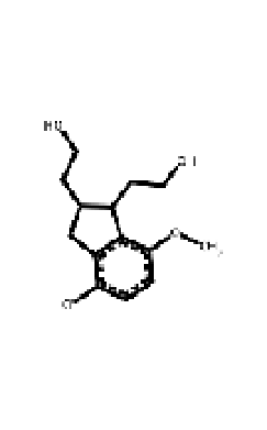 COc1ccc(Cl)c2c1C(CCO)C(CCO)C2